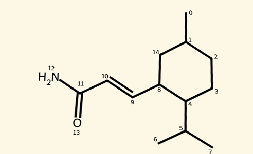 CC1CCC(C(C)C)C(C=CC(N)=O)C1